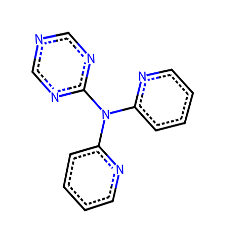 c1ccc(N(c2ccccn2)c2ncncn2)nc1